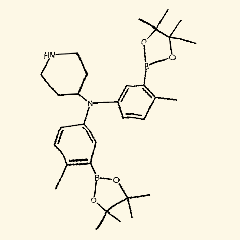 Cc1ccc(N(c2ccc(C)c(B3OC(C)(C)C(C)(C)O3)c2)C2CCNCC2)cc1B1OC(C)(C)C(C)(C)O1